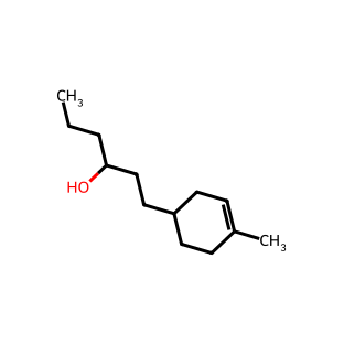 CCCC(O)CCC1CC=C(C)CC1